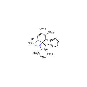 CCCC(c1ccccc1)C1(N(C)C)C(OC)=C(OC)C(OC)=CC1C(=O)[O-].O=C(O)/C=C\C(=O)O.[H+]